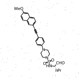 CCC[C@@H](C=O)NS(=O)(=O)N1CCN(c2ccc(C#Cc3ccc4cc(OC)ccc4c3)cc2)CC1